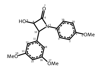 COc1ccc(N2C(=O)C(O)C2c2cc(OC)cc(OC)c2)cc1